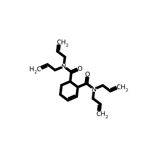 C=CCN(CC=C)C(=O)C1C=CCCC1C(=O)N(CC=C)CC=C